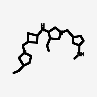 CCC1CCN(CC2CC(NC3CN(CC4CCC(NC)C4)CC3CC)C2)C1